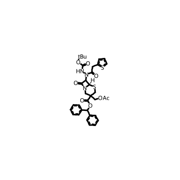 CC(=O)OCC1(C(=O)OC(c2ccccc2)c2ccccc2)CS[C@@H]2C(N(NC(=O)OC(C)(C)C)C(=O)Cc3cccs3)C(=O)N2C1